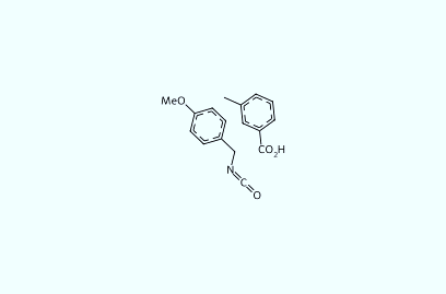 COc1ccc(CN=C=O)cc1.Cc1cccc(C(=O)O)c1